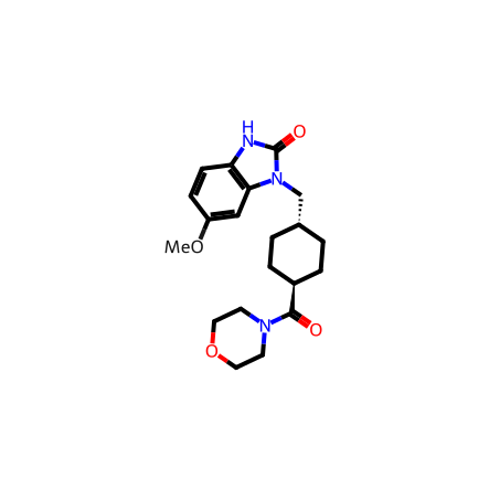 COc1ccc2[nH]c(=O)n(C[C@H]3CC[C@H](C(=O)N4CCOCC4)CC3)c2c1